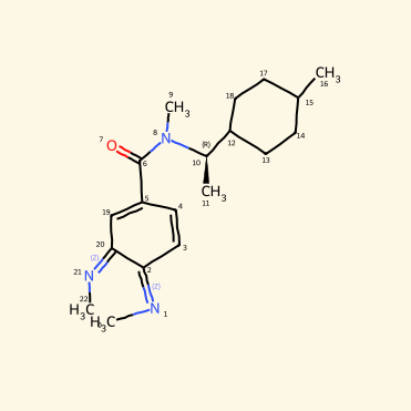 C/N=C1/C=CC(C(=O)N(C)[C@H](C)C2CCC(C)CC2)=C/C1=N/C